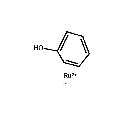 Oc1ccccc1.[I-].[I-].[Ru+2]